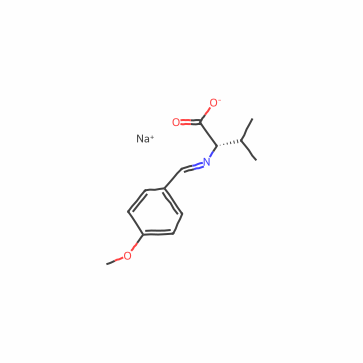 COc1ccc(/C=N/[C@H](C(=O)[O-])C(C)C)cc1.[Na+]